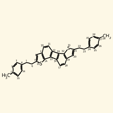 Cc1ccc(CCc2cc3ccc4c(c3s2)-c2ccc3cc(CCc5ccc(C)cc5)sc3c2-4)cc1